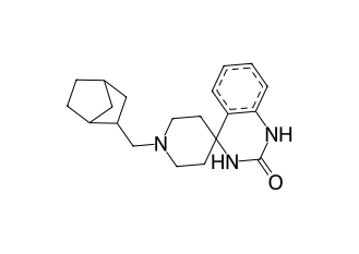 O=C1Nc2ccccc2C2(CCN(CC3CC4CCC3C4)CC2)N1